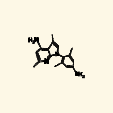 Bc1cc(C)c(-n2cc(C)c3c(N)cc(C)nc32)c(C)c1